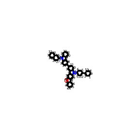 c1ccc(-c2ccc(-n3c4ccc(-c5ccc6c(c5)c5ccccc5n6-c5ccc6ccccc6c5)cc4c4cc5oc6ccccc6c5cc43)cc2)cc1